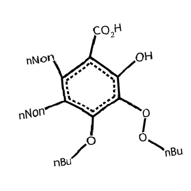 CCCCCCCCCc1c(CCCCCCCCC)c(C(=O)O)c(O)c(OOCCCC)c1OCCCC